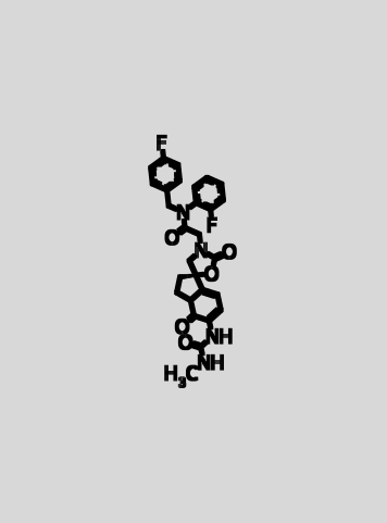 CNC(=O)NC1=CC=C2C(CC[C@]23CN(CC(=O)N(Cc2ccc(F)cc2)c2ccccc2F)C(=O)O3)C1=O